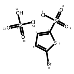 O=S(=O)(Cl)c1ccc(Br)s1.O=S(=O)(O)Cl